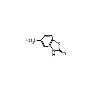 O=C(O)c1ccc2sc(=O)[nH]c2c1